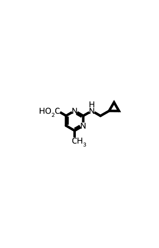 Cc1cc(C(=O)O)nc(NCC2CC2)n1